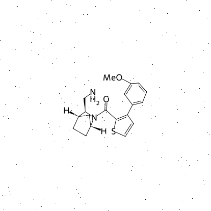 COc1cccc(-c2ccsc2C(=O)N2[C@@H]3CC[C@@H](C3)[C@H]2CN)c1